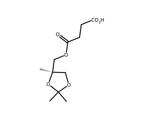 CC1(C)OC[C@](C)(COC(=O)CCC(=O)O)O1